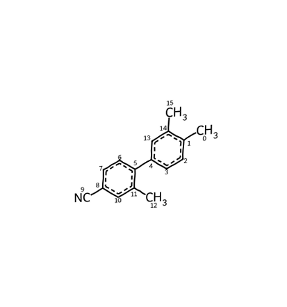 Cc1ccc(-c2ccc(C#N)cc2C)cc1C